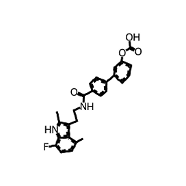 Cc1[nH]c2c(F)ccc(C)c2c1CCNC(=O)c1ccc(-c2cccc(OC(=O)O)c2)cc1